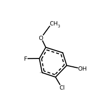 COc1cc(O)c(Cl)[c]c1F